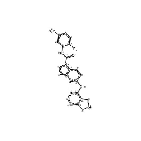 Cc1ccc(F)c(NC(=O)n2ccc3cc(Oc4ncnc5c4CNC5)ccc32)c1